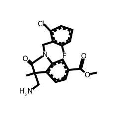 COC(=O)c1ccc2c(c1)N(Cc1c(F)cccc1Cl)C(=O)C2(C)CN